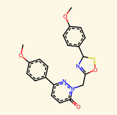 COc1ccc(-c2ccc(=O)n(CC3=NC(c4ccc(OC)cc4)SO3)n2)cc1